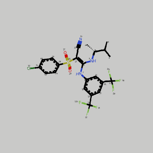 CC(C)[C@@H](C)NC(Nc1cc(C(F)(F)F)cc(C(F)(F)F)c1)=C(C#N)S(=O)(=O)c1ccc(Cl)cc1